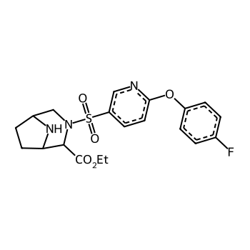 CCOC(=O)C1C2CCC(CN1S(=O)(=O)c1ccc(Oc3ccc(F)cc3)nc1)N2